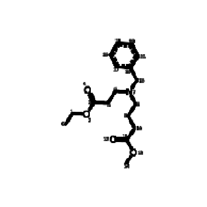 CCOC(=O)CCN(CCCC(=O)OC)Cc1ccccc1